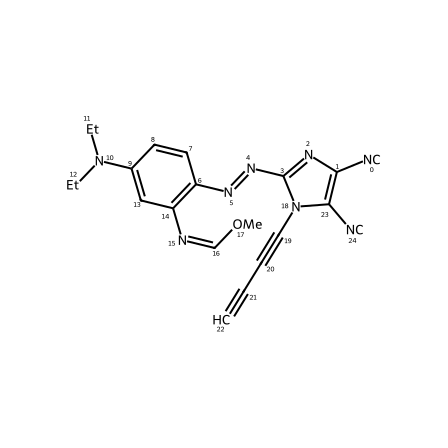 [C-]#[N+]c1nc(N=Nc2ccc(N(CC)CC)cc2/N=C\OC)n(C#CC#C)c1[N+]#[C-]